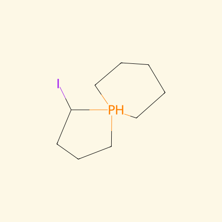 IC1CCC[PH]12CCCCC2